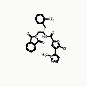 Cn1nccc1-c1cc(C(=O)N[C@@H](Cc2ccccc2C(F)(F)F)CN2C(=O)c3ccccc3C2=O)oc1Cl